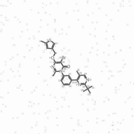 Cc1cc(COc2nc(C)n(-c3cccc(-c4nc(C(C)(C)C)ncc4C)c3)c(=O)c2Br)cs1